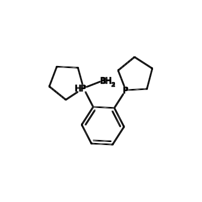 B[PH]1(c2ccccc2P2CCCC2)CCCC1